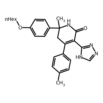 CCCCCCOc1ccc(C2(C)CC(c3ccc(C)cc3)=C(c3nnc[nH]3)C(=O)N2)cc1